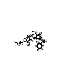 COCCOC(=O)c1cn(-c2cc(Nc3ccccc3)ncc2Cl)cn1